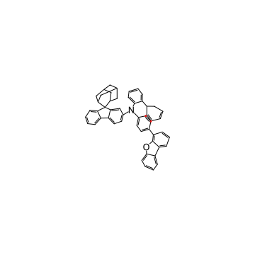 C1=CCC(c2ccccc2N(c2ccc(-c3cccc4c3oc3ccccc34)cc2)c2ccc3c(c2)C2(c4ccccc4-3)C3CC4CC(C3)CC2C4)C=C1